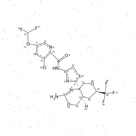 NC1=N[C@@]2(c3nc(NC(=O)c4ncc(OC(F)F)cc4Cl)cs3)CO[C@@H](C(F)(F)F)C[C@H]2CO1